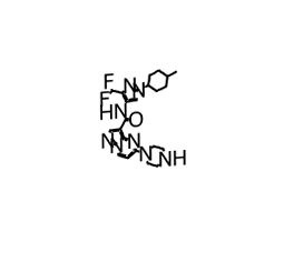 CC1CCC(n2cc(NC(=O)c3cnn4ccc(N5CCNCC5)nc34)c(C(F)F)n2)CC1